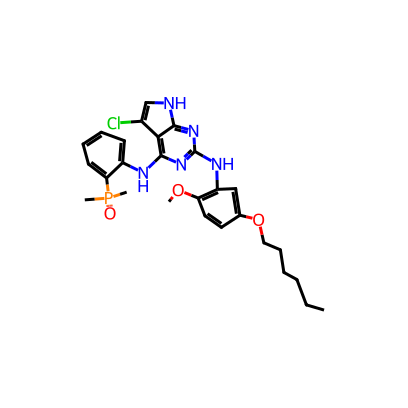 CCCCCCOc1ccc(OC)c(Nc2nc(Nc3ccccc3P(C)(C)=O)c3c(Cl)c[nH]c3n2)c1